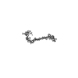 CN(C)C(=O)c1ccc(-c2cc(C(=O)NC3CCc4ccc(OCC(=O)NCCOCCOCCNC(=O)COc5cccc6c5C(=O)N(C5CCC(=O)NC5=O)C6=O)cc43)no2)cc1O